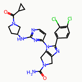 NC(=O)N1Cc2nc(-c3ccc(Cl)c(Cl)c3)n(-c3ccnc(N[C@H]4CCN(C(=O)C5CC5)C4)n3)c2C1